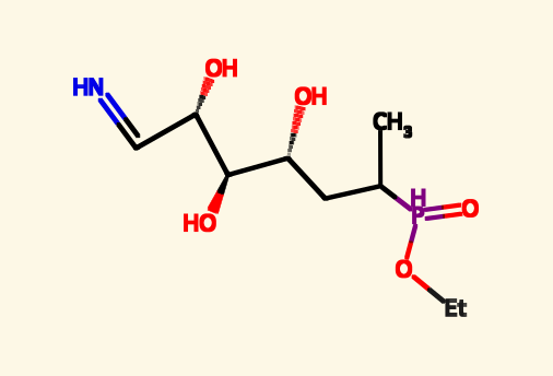 CCO[PH](=O)C(C)C[C@@H](O)[C@@H](O)[C@@H](O)C=N